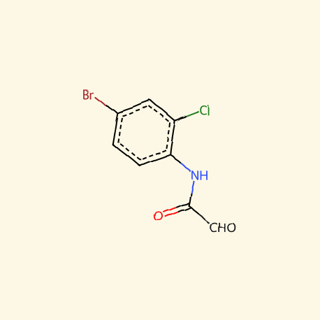 O=CC(=O)Nc1ccc(Br)cc1Cl